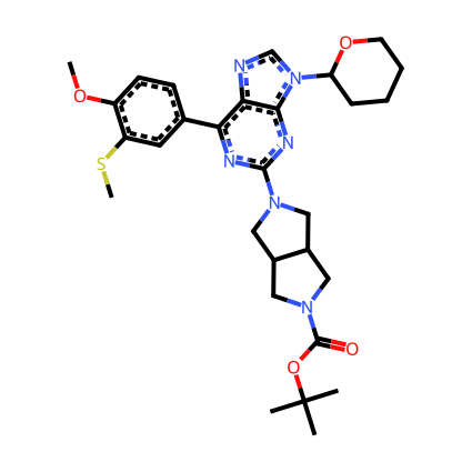 COc1ccc(-c2nc(N3CC4CN(C(=O)OC(C)(C)C)CC4C3)nc3c2ncn3C2CCCCO2)cc1SC